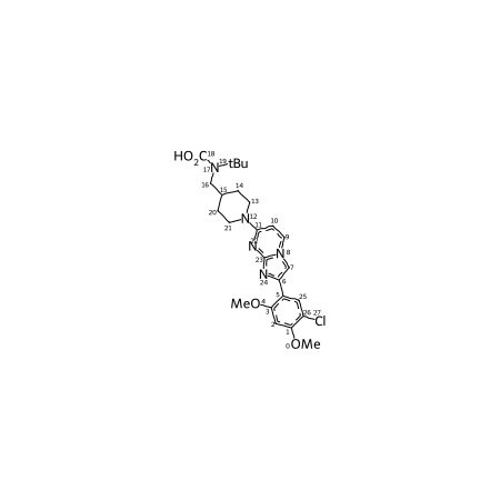 COc1cc(OC)c(-c2cn3ccc(N4CCC(CN(C(=O)O)C(C)(C)C)CC4)nc3n2)cc1Cl